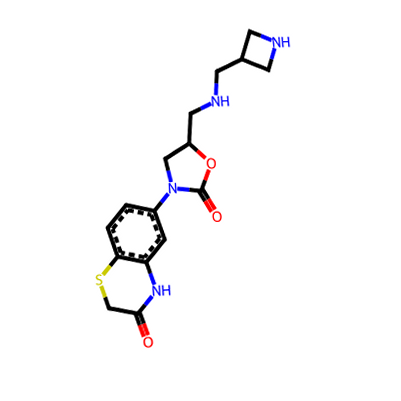 O=C1CSc2ccc(N3CC(CNCC4CNC4)OC3=O)cc2N1